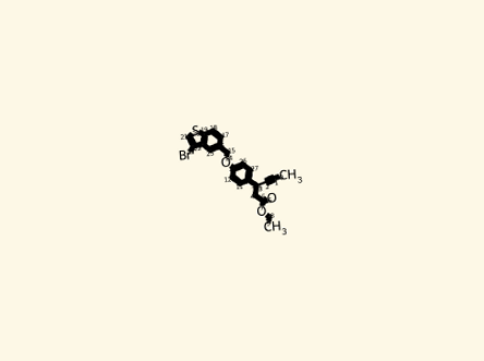 CC#C[C@@H](CC(=O)OCC)c1ccc(OCc2ccc3scc(Br)c3c2)cc1